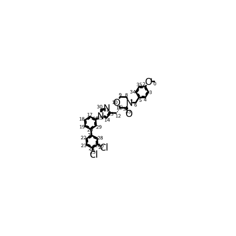 COc1ccc(CN2CCO[C@@H](Cc3cn(-c4cccc(-c5ccc(Cl)c(Cl)c5)c4)cn3)C2=O)cc1